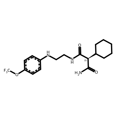 NC(=O)[C@@H](C(=O)NCCNc1ccc(OC(F)(F)F)cc1)C1CCCCC1